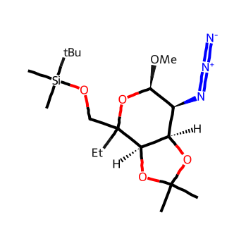 CCC1(CO[Si](C)(C)C(C)(C)C)O[C@@H](OC)[C@@H](N=[N+]=[N-])[C@H]2OC(C)(C)O[C@H]21